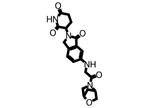 O=C1CCC(N2Cc3ccc(NCC(=O)N4CC5CC4CO5)cc3C2=O)C(=O)N1